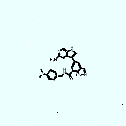 CN(C)c1ccc(CNC(=O)c2cc(-c3c[nH]c4cnc(N)cc34)cc3cn[nH]c23)cc1